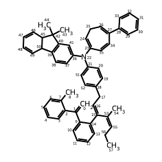 C=C(c1ccccc1C)c1ccccc1C(=C/Cc1ccc(N(C2=CCC=C(c3ccccc3)C=C2)c2ccc3c(c2)C(C)(C)C2C=CC=CC32)cc1)/C(C)=C\CC